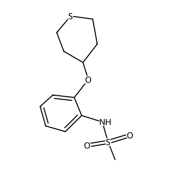 CS(=O)(=O)Nc1ccccc1OC1CCSCC1